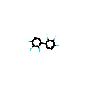 Fc1c[c]c(-c2ccc(F)c(F)c2F)c(F)c1F